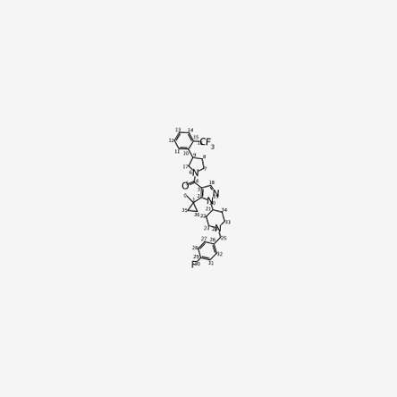 CC1(c2c(C(=O)N3CCC(c4ccccc4C(F)(F)F)C3)cnn2C2CCN(Cc3ccc(F)cc3)CC2)CC1